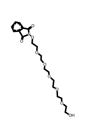 O=C1c2ccccc2C(=O)N1OCCOCCOCCOCCOCCOCCO